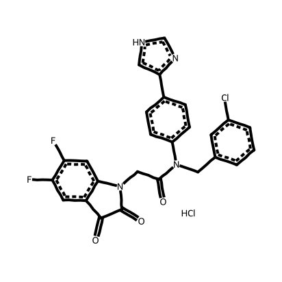 Cl.O=C1C(=O)N(CC(=O)N(Cc2cccc(Cl)c2)c2ccc(-c3c[nH]cn3)cc2)c2cc(F)c(F)cc21